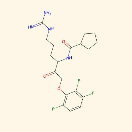 N=C(N)NCCCC(NC(=O)C1CCCC1)C(=O)COc1c(F)ccc(F)c1F